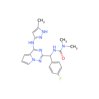 Cc1cc(Nc2nc(C(NC(=O)N(C)C)c3ccc(F)cc3)nn3cccc23)n[nH]1